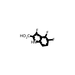 O=C(O)c1[nH]c2ccc(F)c(F)c2c1F